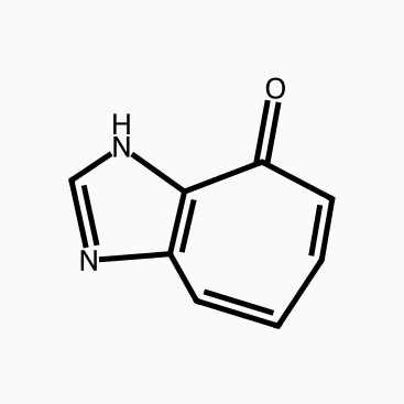 O=c1ccccc2nc[nH]c12